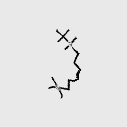 CC(C)(C)[Si](C)(C)CC/C=C\CC[Si](C)(C)C